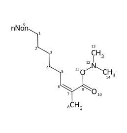 CCCCCCCCCCCCCCC=C(C)C(=O)ON(C)C